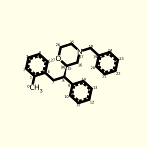 Cc1ccccc1CC(c1ccccc1)[C@@H]1CN(Cc2ccccc2)CCO1